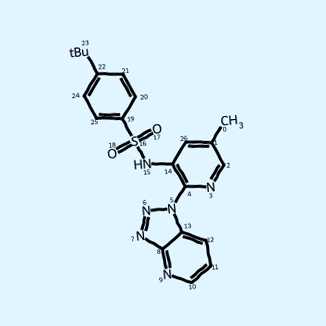 Cc1cnc(-n2nnc3ncccc32)c(NS(=O)(=O)c2ccc(C(C)(C)C)cc2)c1